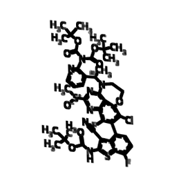 C[C@H](c1cccnc1N(C(=O)OC(C)(C)C)C(=O)OC(C)(C)C)N1CCOc2c(Cl)c(-c3ccc(F)c4sc(NC(=O)OC(C)(C)C)c(C#N)c34)c(F)c3nc([S+](C)[O-])nc1c23